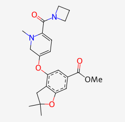 COC(=O)c1cc(OC2=CC=C(C(=O)N3CCC3)N(C)C2)c2c(c1)OC(C)(C)C2